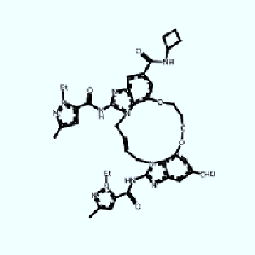 CCn1nc(C)cc1C(=O)Nc1nc2cc(C=O)cc3c2n1C/C=C/Cn1c(NC(=O)c2cc(C)nn2CC)nc2cc(C(=O)NC4CCC4)cc(c21)OCCCO3